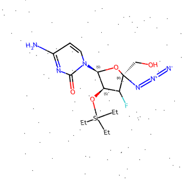 CC[Si](CC)(CC)O[C@@H]1C(F)[C@](CO)(N=[N+]=[N-])O[C@@H]1n1ccc(N)nc1=O